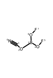 N#COB(OF)OF